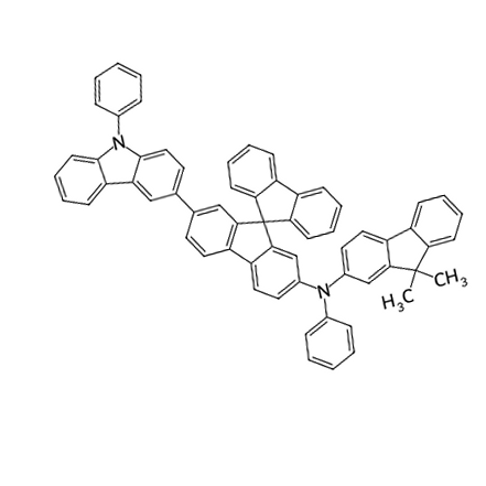 CC1(C)c2ccccc2-c2ccc(N(c3ccccc3)c3ccc4c(c3)C3(c5ccccc5-c5ccccc53)c3cc(-c5ccc6c(c5)c5ccccc5n6-c5ccccc5)ccc3-4)cc21